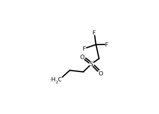 [CH2]CCS(=O)(=O)CC(F)(F)F